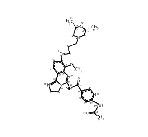 COc1c(OCCCN2C[C@@H](C)O[C@@H](C)C2)ccc2c1N=C(NC(=O)c1ccc(NC(C)=O)nc1)N1CCN=C21